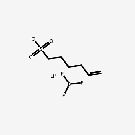 C=CCCCCS(=O)(=O)[O-].FB(F)F.[Li+]